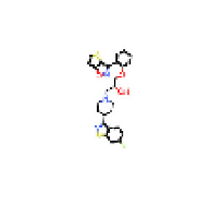 O[C@@H](COc1ccccc1-c1noc2ccsc12)CN1CCC(c2nsc3cc(F)ccc23)CC1